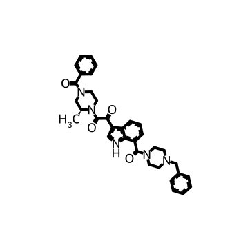 C[C@@H]1CN(C(=O)c2ccccc2)CCN1C(=O)C(=O)c1c[nH]c2c(C(=O)N3CCN(Cc4ccccc4)CC3)cccc12